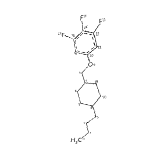 CCCCC1CCC(COc2cc(F)c(F)c(F)c2)CC1